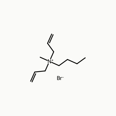 C=CC[N+](C)(CC=C)CCCC.[Br-]